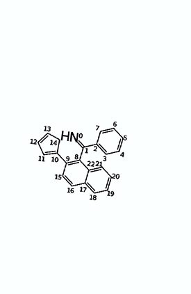 N=C(c1ccccc1)c1c(C2=CC=CC2)ccc2ccccc12